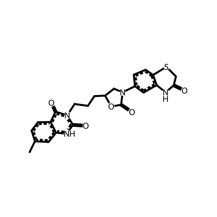 Cc1ccc2c(=O)n(CCCC3CN(c4ccc5c(c4)NC(=O)CS5)C(=O)O3)c(=O)[nH]c2c1